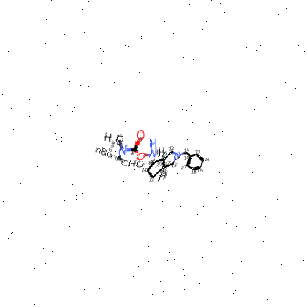 CCCC[C@@H](C=O)N(C)C(=O)ON[C@H]1CC[C@@H]2CN(Cc3ccccc3)C[C@@H]21